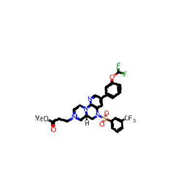 COC(=O)CCN1CCN2c3ncc(-c4cccc(OC(F)F)c4)cc3N(S(=O)(=O)c3cccc(C(F)(F)F)c3)C[C@@H]2C1